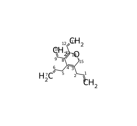 C=CCC1=C(CC=C)C(C=C)=C(C=C)O[CH]1